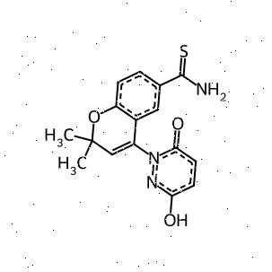 CC1(C)C=C(n2nc(O)ccc2=O)c2cc(C(N)=S)ccc2O1